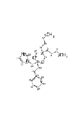 CCCCC1(CCCC)COC(CCc2ccccc2)(Cn2ccnc2)OC1